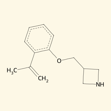 C=C(C)c1ccccc1OCC1CNC1